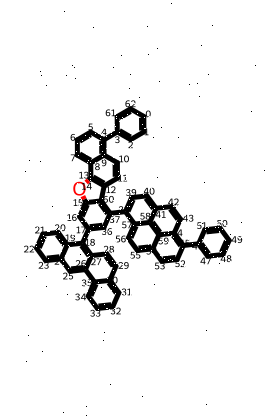 c1ccc(-c2cccc3c2ccc2c3oc3cc(-c4c5ccccc5cc5c4ccc4ccccc45)cc(-c4ccc5ccc6c(-c7ccccc7)ccc7ccc4c5c76)c32)cc1